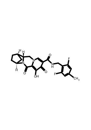 Cc1cc(F)c(CNC(=O)c2cn3c(c(O)c2=O)C(=O)N2[C@H]4CC[C@H](C4)[C@@H]2C3)c(F)c1